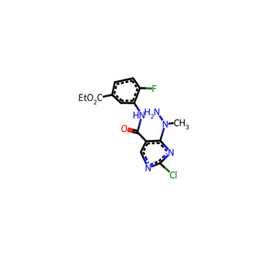 CCOC(=O)c1ccc(F)c(NC(=O)c2cnc(Cl)nc2N(C)N)c1